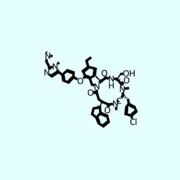 CCc1ccc(CN2C(=O)CC([C@@H]3CCc4ccccc43)C(=O)N(C)C[C@@H](Cc3ccc(Cl)cc3)N(C)C(=O)[C@H](CO)NC(=O)[C@@H]2C)c(Oc2ccc(-c3cnc(CN(C)C)n3C)cc2)c1